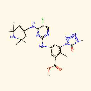 COC(=O)c1cc(Nc2ncc(F)c(NC3CC(C)(C)NC(C)(C)C3)n2)cc(-n2nnn(C)c2=O)c1C